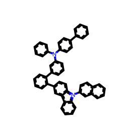 c1ccc(-c2ccc(N(c3ccccc3)c3cccc(-c4ccccc4-c4ccc5c(c4)c4ccccc4n5-c4ccc5ccccc5c4)c3)cc2)cc1